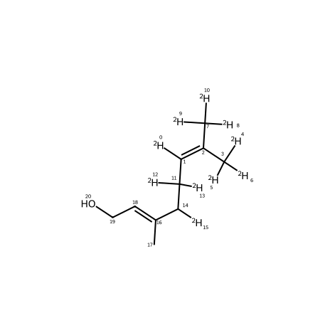 [2H]C(=C(C([2H])([2H])[2H])C([2H])([2H])[2H])C([2H])([2H])C([2H])/C(C)=C/CO